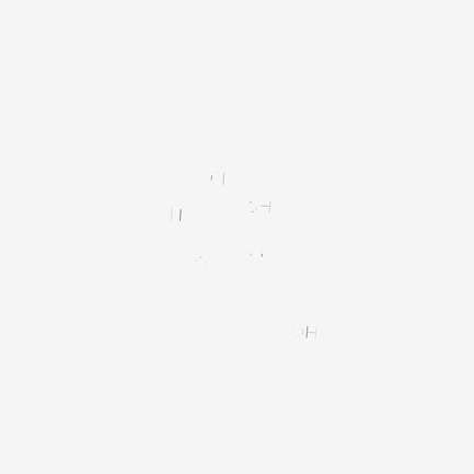 C1CCC1.CC(S)(S)C(=O)OCCO